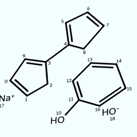 C1=CCC(C2=CC=CC2)=C1.Oc1ccccc1.[Na+].[OH-]